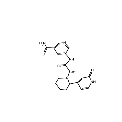 NC(=O)c1cncc(NC(=O)C(=O)N2CCCCC2c2cc[nH]c(=O)c2)c1